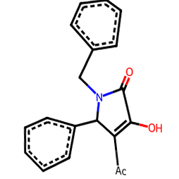 CC(=O)C1=C(O)C(=O)N(Cc2ccccc2)C1c1ccccc1